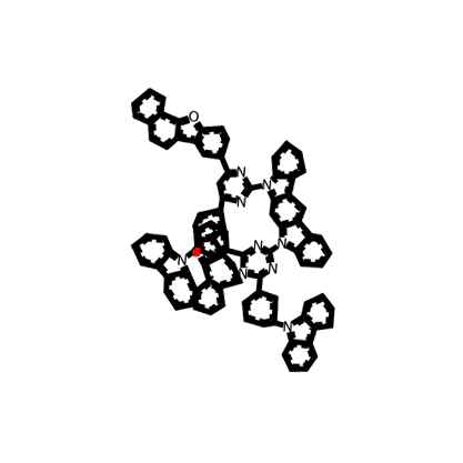 c1cc(-c2nc(-c3cccc(-n4c5ccccc5c5ccccc54)c3)nc(-n3c4ccccc4c4cc5c6ccccc6n(-c6nc(-c7ccc8oc9c%10ccccc%10ccc9c8c7)cc(-c7ccc8oc9c%10ccccc%10ccc9c8c7)n6)c5cc43)n2)cc(-n2c3ccccc3c3ccccc32)c1